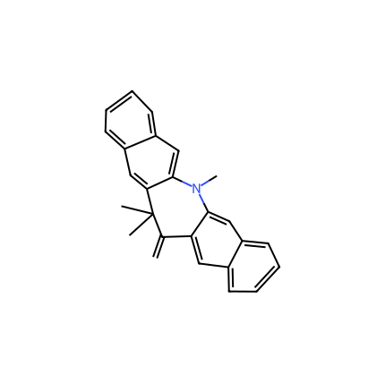 C=C1c2cc3ccccc3cc2N(C)c2cc3ccccc3cc2C1(C)C